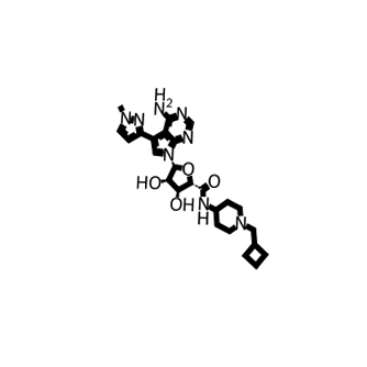 Cn1ccc(-c2cn([C@@H]3O[C@H](C(=O)NC4CCN(CC5CCC5)CC4)[C@@H](O)[C@H]3O)c3ncnc(N)c23)n1